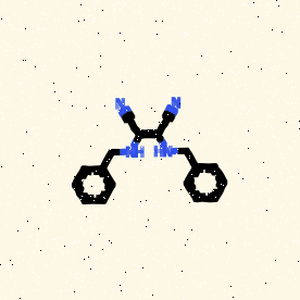 N#CC(NCc1ccccc1)=C(C#N)NCc1ccccc1